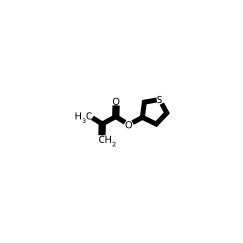 C=C(C)C(=O)OC1CCSC1